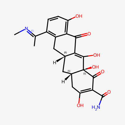 C/N=C(\C)c1ccc(O)c2c1C[C@H]1C[C@H]3CC(O)=C(C(N)=O)C(=O)[C@@]3(O)C(O)=C1C2=O